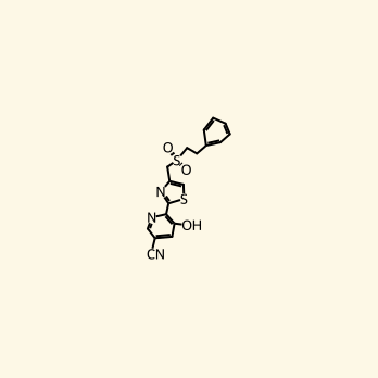 N#Cc1cnc(-c2nc(CS(=O)(=O)CCc3ccccc3)cs2)c(O)c1